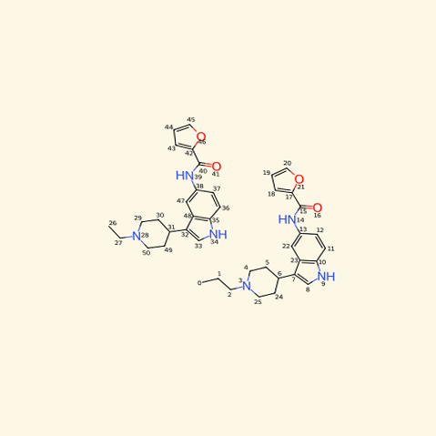 CCCN1CCC(c2c[nH]c3ccc(NC(=O)c4ccco4)cc23)CC1.CCN1CCC(c2c[nH]c3ccc(NC(=O)c4ccco4)cc23)CC1